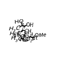 C=CC.CC(O)CO.CCOC(C)=O.CCOCC.COCCO